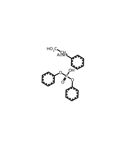 CC(=O)Nc1ccccc1.CC(=O)O.O=P(O)(Oc1ccccc1)Oc1ccccc1